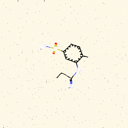 CC/C(=N\C)Nc1cc(S(=O)(=O)NC)ccc1C